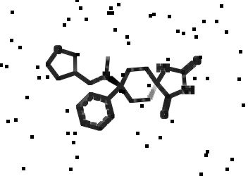 CN(CC1CCOC1)[C@]1(c2ccccc2)CC[C@]2(CC1)NC(=O)NC2=O